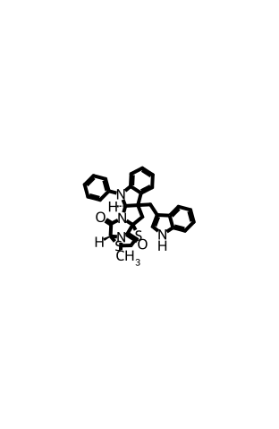 CN1C(=O)C23CC4(Cc5c[nH]c6ccccc56)c5ccccc5N(c5ccccc5)[C@@H]4N2C(=O)[C@H]1SCS3